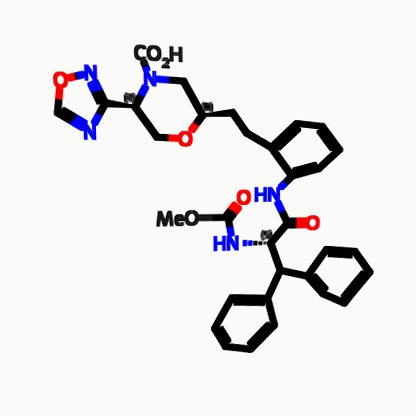 COC(=O)N[C@H](C(=O)Nc1ccccc1CC[C@@H]1CN(C(=O)O)[C@H](c2ncon2)CO1)C(c1ccccc1)c1ccccc1